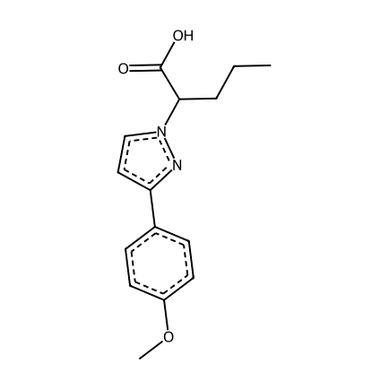 CCCC(C(=O)O)n1ccc(-c2ccc(OC)cc2)n1